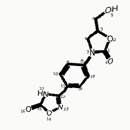 O=C1OC(CO)CN1c1ccc(-c2noc(=O)[nH]2)cc1